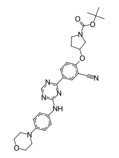 CC(C)(C)OC(=O)N1CCC(Oc2ccc(-c3ncnc(Nc4ccc(N5CCOCC5)cc4)n3)cc2C#N)C1